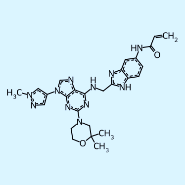 C=CC(=O)Nc1ccc2[nH]c(CNc3nc(N4CCOC(C)(C)C4)nc4c3ncn4-c3cnn(C)c3)nc2c1